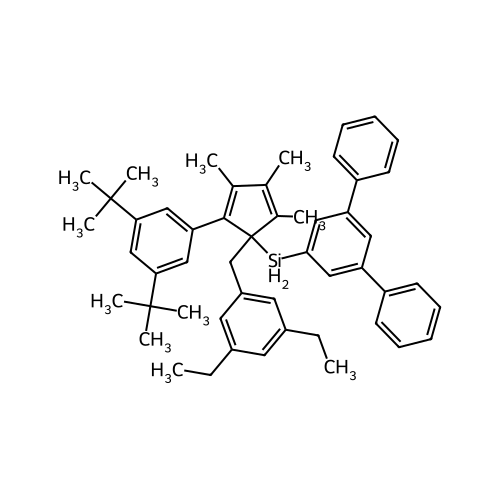 CCc1cc(CC)cc(CC2([SiH2]c3cc(-c4ccccc4)cc(-c4ccccc4)c3)C(C)=C(C)C(C)=C2c2cc(C(C)(C)C)cc(C(C)(C)C)c2)c1